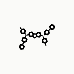 Cc1ccc(N(c2ccc(-c3ccccc3)cc2)c2ccc3c(c2)Cc2cc(N(c4ccc(C)cc4)c4ccc(-c5ccccc5)cc4)ccc2-3)cc1